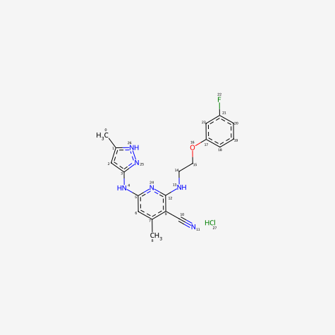 Cc1cc(Nc2cc(C)c(C#N)c(NCCOc3cccc(F)c3)n2)n[nH]1.Cl